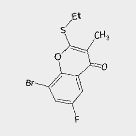 CCSc1oc2c(Br)cc(F)cc2c(=O)c1C